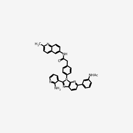 CC(=O)Nc1cccc(-c2ccc3nc(-c4cccnc4N)n(-c4ccc(CC(=O)Nc5ccc6nc(C)ccc6c5)cc4)c3n2)c1